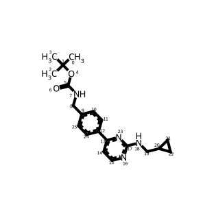 CC(C)(C)OC(=O)NCc1ccc(-c2ccnc(NCC3CC3)n2)cc1